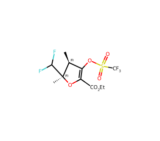 CCOC(=O)C1=C(OS(=O)(=O)C(F)(F)F)[C@H](C)[C@](C)(C(F)F)O1